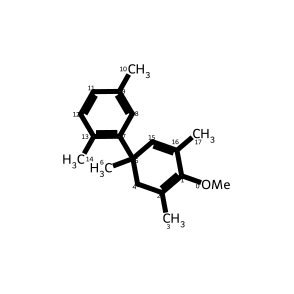 COC1=C(C)CC(C)(c2cc(C)ccc2C)C=C1C